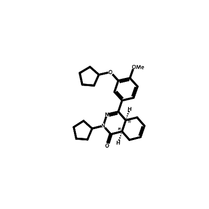 COc1ccc(C2=NN(C3CCCC3)C(=O)[C@@H]3CC=CC[C@H]23)cc1OC1CCCC1